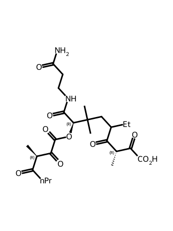 CCCC(=O)[C@@H](C)C(=O)C(=O)O[C@@H](C(=O)NCCC(N)=O)C(C)(C)CC(CC)C(=O)[C@@H](C)C(=O)C(=O)O